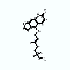 C/C(=C\COc1c2ccoc2cc2oc(=O)ccc12)CCC(C)(C)C=O